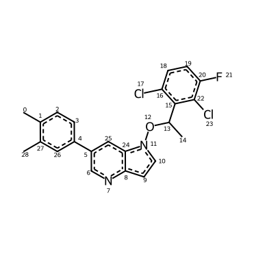 Cc1ccc(-c2cnc3ccn(OC(C)c4c(Cl)ccc(F)c4Cl)c3c2)cc1C